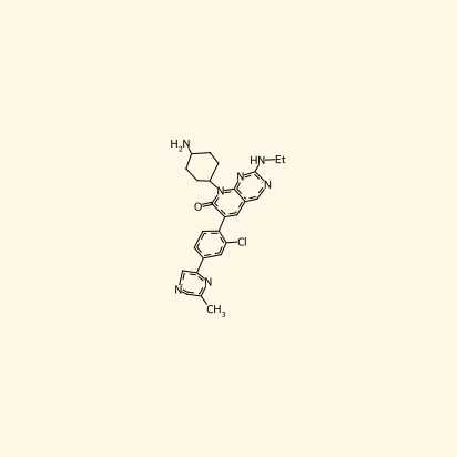 CCNc1ncc2cc(-c3ccc(-c4cncc(C)n4)cc3Cl)c(=O)n(C3CCC(N)CC3)c2n1